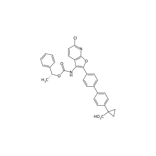 C[C@@H](OC(=O)Nc1c(-c2ccc(-c3ccc(C4(C(=O)O)CC4)cc3)cc2)oc2nc(Cl)ccc12)c1ccccc1